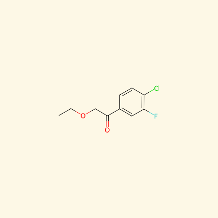 CCOCC(=O)c1ccc(Cl)c(F)c1